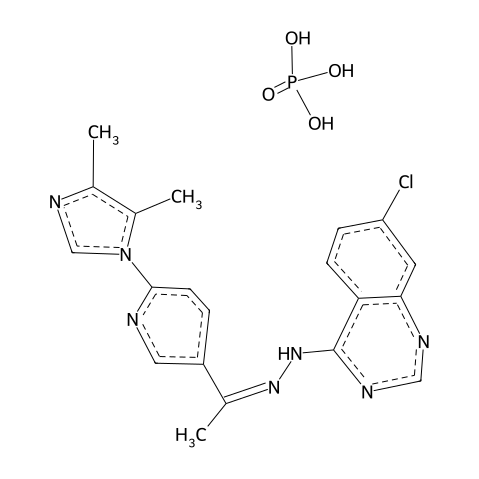 CC(=NNc1ncnc2cc(Cl)ccc12)c1ccc(-n2cnc(C)c2C)nc1.O=P(O)(O)O